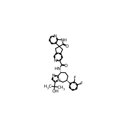 CC(C)(O)c1cnc2n1C[C@H](c1cccc(F)c1F)CC[C@H]2NC(=O)c1cc2c(cn1)CC1(C2)C(=O)Nc2ncccc21